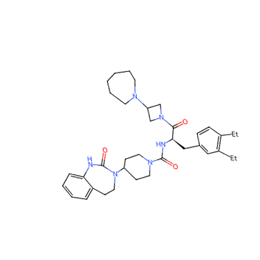 CCc1ccc(C[C@@H](NC(=O)N2CCC(N3CCc4ccccc4NC3=O)CC2)C(=O)N2CC(N3CCCCCC3)C2)cc1CC